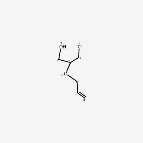 C=CCOC(CO)CCl